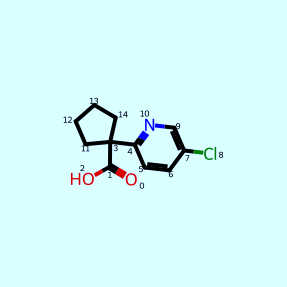 O=C(O)C1(c2ccc(Cl)cn2)CCCC1